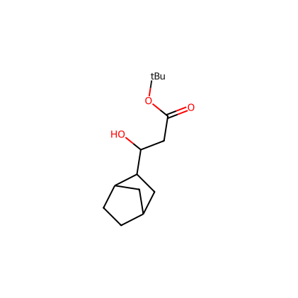 CC(C)(C)OC(=O)CC(O)C1CC2CCC1C2